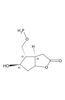 O=C1C[C@H]2C(C[C@@H](O)[C@@H]2COP)O1